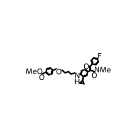 CNC(=O)c1c(-c2ccc(F)cc2)oc2cc(NCCCCCOCc3ccc(C(=O)OC)cc3)c(C3CC3)cc12